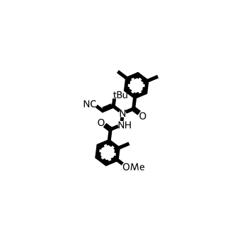 COc1cccc(C(=O)NN(C(=O)c2cc(C)cc(C)c2)C(=CC#N)C(C)(C)C)c1C